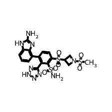 CS(=O)(=O)N1CC(S(=O)(=O)c2ccc(-c3cccc4[nH]c(N)nc34)c(-c3nn[nH]n3)c2S(N)(=O)=O)C1